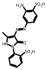 Cc1[nH]n(-c2ccccc2S(=O)(=O)O)c(=O)c1N=Nc1ccc(S(=O)(=O)O)c(N)c1